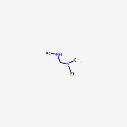 CCN(C)CNC(C)=O